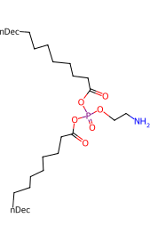 CCCCCCCCCCCCCCCCCC(=O)OP(=O)(OCCN)OC(=O)CCCCCCCCCCCCCCCCC